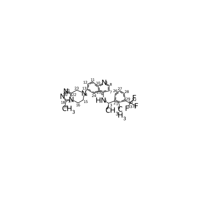 Cc1c([C@@H](C)Nc2ccnc3ccc(N4CCn5c(C)nnc5C4)cc23)cccc1C(F)(F)F